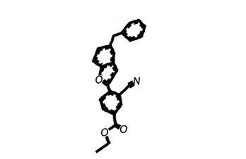 CCOC(=O)c1ccc(-c2cc3cc(Cc4ccccc4)ccc3o2)c(C#N)c1